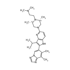 Cc1c(-c2[nH]c3ccc(N4C[C@@H](C)N(CCN(C)C)[C@@H](C)C4)nc3c2C(C)C)cn2ncnc2c1C